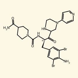 NC(=O)C1CCN(C(=O)N[C@H](Cc2cc(Br)c(N)c(Br)c2)C(=O)C2CN(c3ccncc3)CCN2)CC1